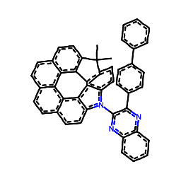 CC1(C)c2ccc3ccc4ccc5ccc6c7c8c(c1ccc8n6-c1nc6ccccc6nc1-c1ccc(-c6ccccc6)cc1)-c2c3c4c57